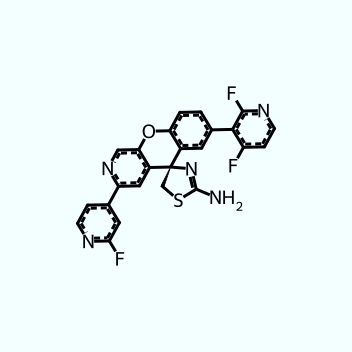 NC1=N[C@@]2(CS1)c1cc(-c3c(F)ccnc3F)ccc1Oc1cnc(-c3ccnc(F)c3)cc12